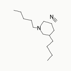 C#N.CCCCCN1CCCC(CCCC)C1